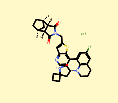 Cl.O=C1[C@@H]2[C@H]3CC[C@H](C3)[C@@H]2C(=O)N1Cc1cc2nccc(-c3cc(Cl)cc4c3N([C@@H]3CNC5(CCC5)C3)CCC4)c2s1